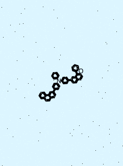 C1=CC(N(c2ccc(-c3ccc4ccc5ccccc5c4c3)cc2)c2ccc(-c3ccc4ccc5oc6ccccc6c5c4c3)cc2)=CCC1